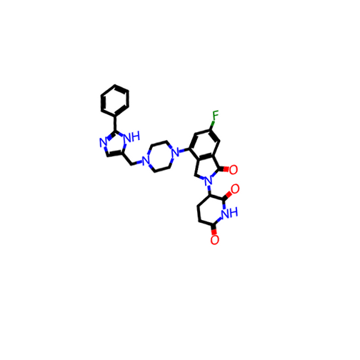 O=C1CCC(N2Cc3c(cc(F)cc3N3CCN(Cc4cnc(-c5ccccc5)[nH]4)CC3)C2=O)C(=O)N1